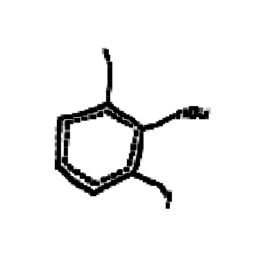 [CH2]CCCc1c(I)cccc1I